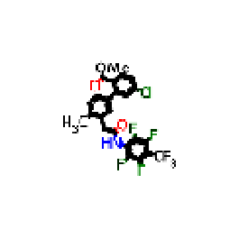 COC(=O)c1ccc(Cl)cc1-c1ccc(C)c(CC(=O)Nc2c(F)c(F)c(C(F)(F)F)c(F)c2F)c1